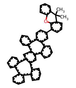 CC1(C)c2ccccc2Oc2c(-c3ccc4c5ccccc5c5cc6c7ccccc7c7ccccc7c7ccccc7c6cc5c5ccccc5c4c3)cccc21